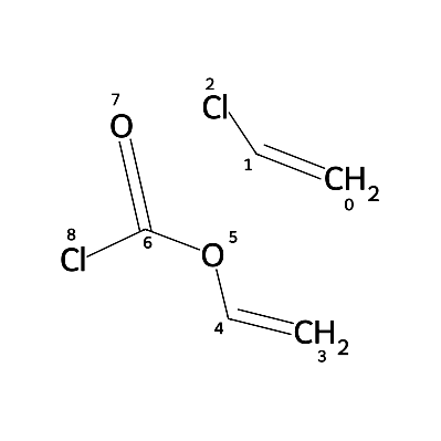 C=CCl.C=COC(=O)Cl